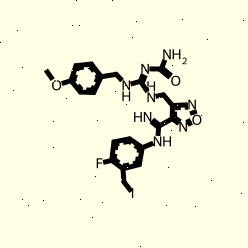 COc1ccc(CNC(=NC(N)=O)NCc2nonc2C(=N)Nc2ccc(F)c(CI)c2)cc1